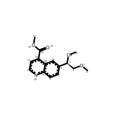 COC[C@H](OC)c1ccc2nccc(C(=O)OC)c2c1